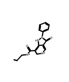 CCCNC(=O)C1=c2[nH]n(-c3ccccc3)c(=O)c2=CNC1